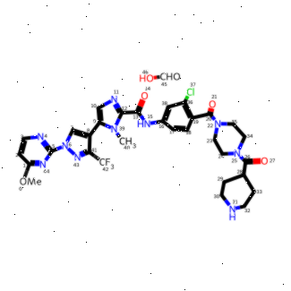 COc1ccnc(-n2cc(-c3cnc(C(=O)Nc4ccc(C(=O)N5CCN(C(=O)C6CCNCC6)CC5)c(Cl)c4)n3C)c(C(F)(F)F)n2)n1.O=CO